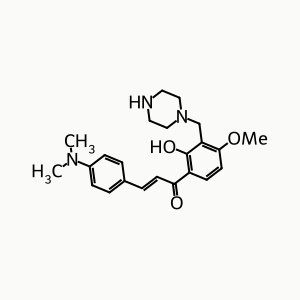 COc1ccc(C(=O)/C=C/c2ccc(N(C)C)cc2)c(O)c1CN1CCNCC1